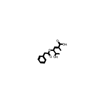 C/C(=C\C(OC(=O)Cc1ccccc1)C(C)O)C(=O)O